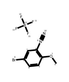 COc1ccc(Br)cc1[N+]#N.F[B-](F)(F)F